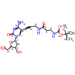 CC(C)(C)OC(=O)NCCC(=O)NCC#Cc1cn(C2CC(O)C(CO)O2)c(=O)nc1N